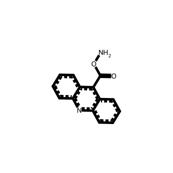 NOC(=O)c1c2ccccc2nc2ccccc12